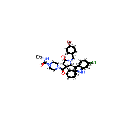 CCNC(=O)N1CCN(C(=O)[C@]2(c3ccccc3)CC(=O)N(Cc3ccc(Br)cc3)[C@H]2c2c[nH]c3cc(Cl)ccc23)CC1